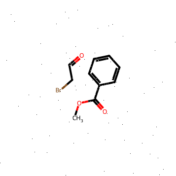 COC(=O)c1ccccc1.O=CCBr